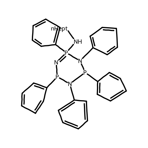 CCCCCCCNP1(c2ccccc2)=NP(c2ccccc2)N(c2ccccc2)P(c2ccccc2)N1c1ccccc1